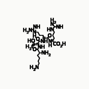 C[C@@H](O)[C@H](NC(=O)C(N)CCCCN)C(=O)N[C@@H](CCCNC(=N)N)C(=O)N[C@@H](CCCNC(=N)N)C(=O)O